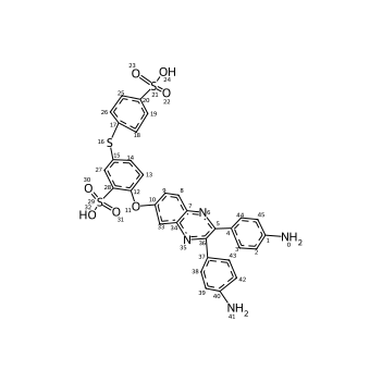 Nc1ccc(-c2nc3ccc(Oc4ccc(Sc5ccc(S(=O)(=O)O)cc5)cc4S(=O)(=O)O)cc3nc2-c2ccc(N)cc2)cc1